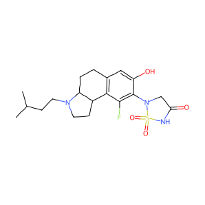 CC(C)CCN1CCC2c3c(cc(O)c(N4CC(=O)NS4(=O)=O)c3F)CCC21